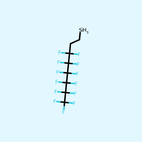 FC(F)(F)C(F)(F)C(F)(F)C(F)(F)C(F)(F)C(F)(F)CC[SiH3]